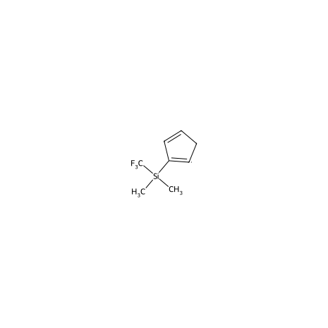 C[Si](C)(C1=[C]CC=C1)C(F)(F)F